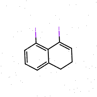 IC1=CCCc2cccc(I)c21